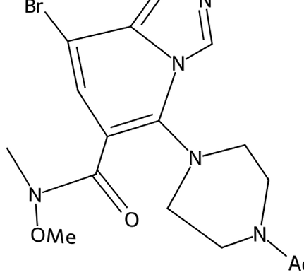 CON(C)C(=O)c1cc(Br)c2cncn2c1N1CCN(C(C)=O)CC1